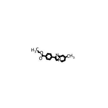 CCOC(=O)c1ccc(-c2cn3ccc(C)cc3n2)cc1